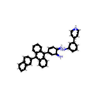 N=C1C=C(c2c3ccccc3c(-c3ccc4ccccc4c3)c3ccccc23)C=C/C1=N/Nc1cccc(-c2ccncc2)c1